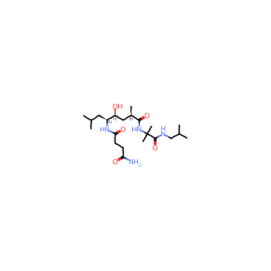 CC(C)CNC(=O)C(C)(C)NC(=O)[C@H](C)C[C@H](O)[C@H](CC(C)C)NC(=O)CCC(N)=O